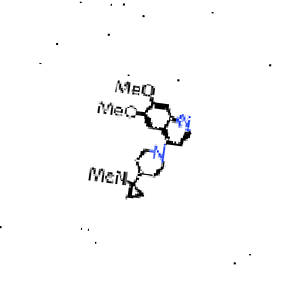 CNC1(C2CCN(c3ccnc4cc(OC)c(OC)cc34)CC2)CC1